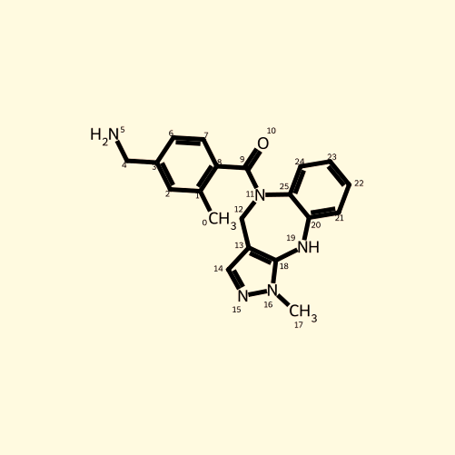 Cc1cc(CN)ccc1C(=O)N1Cc2cnn(C)c2Nc2ccccc21